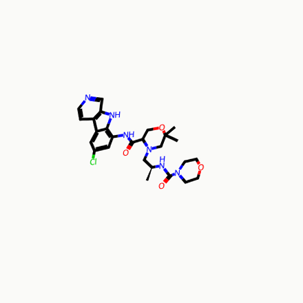 C[C@@H](CN1CC(C)(C)OCC1C(=O)Nc1cc(Cl)cc2c1[nH]c1cnccc12)NC(=O)N1CCOCC1